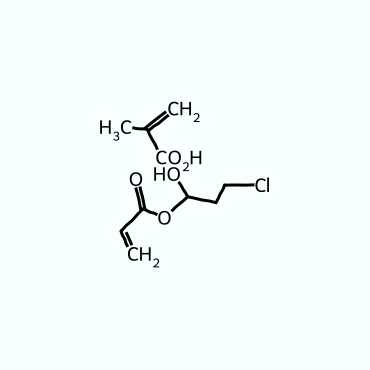 C=C(C)C(=O)O.C=CC(=O)OC(O)CCCl